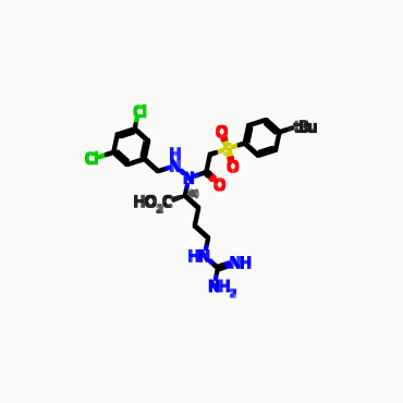 CC(C)(C)c1ccc(S(=O)(=O)CC(=O)N(NCc2cc(Cl)cc(Cl)c2)[C@@H](CCCNC(=N)N)C(=O)O)cc1